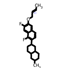 C/C=C/COc1cc2ccc(C3CCC4CC(C)CCC4C3)c(F)c2cc1F